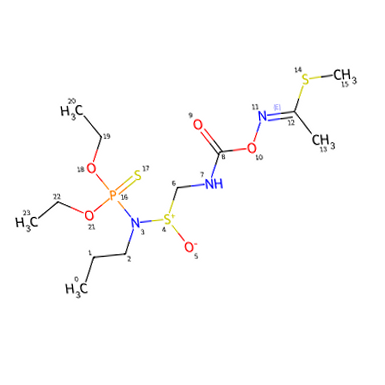 CCCN([S+]([O-])CNC(=O)O/N=C(\C)SC)P(=S)(OCC)OCC